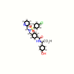 O=C(NC(C(=O)O)c1ccc(O)cc1)c1ccc(CN(Cc2ccccn2)S(=O)(=O)c2ccc(Cl)cc2)cc1